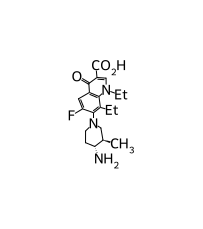 CCc1c(N2CC[C@@H](N)[C@H](C)C2)c(F)cc2c(=O)c(C(=O)O)cn(CC)c12